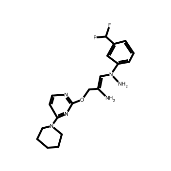 N/C(=C\N(N)c1cccc(C(F)F)c1)COc1nccc(N2CCCCC2)n1